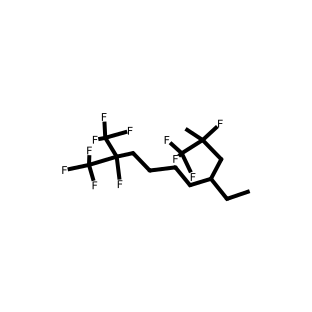 CCC(CCCCC(F)(C(F)(F)F)C(F)(F)F)CC(C)(F)C(F)(F)F